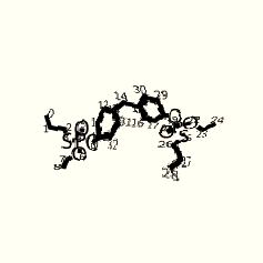 CCCSP(=O)(OCC)Oc1ccc(Cc2ccc(OP(=O)(OCC)SCCC)cc2)cc1